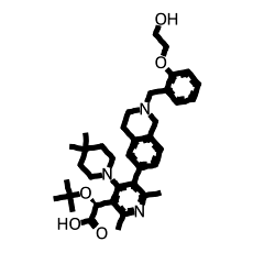 Cc1nc(C)c([C@H](OC(C)(C)C)C(=O)O)c(N2CCC(C)(C)CC2)c1-c1ccc2c(c1)CCN(Cc1ccccc1OCCO)C2